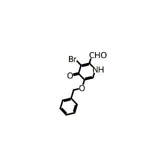 O=Cc1[nH]cc(OCc2ccccc2)c(=O)c1Br